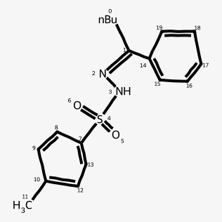 CCCCC(=NNS(=O)(=O)c1ccc(C)cc1)c1ccccc1